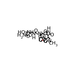 Cn1cc(C2=C(C(CC(=O)NCC(=O)NCC(=O)N[C@@H](CO)C(N)=O)n3ccc4ccccc43)C(=O)NC2=O)c2ccccc21